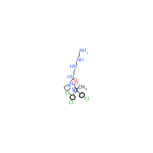 Cc1c(C(=O)N(CC(=O)NCCCNCCNCCCN)N2CCCCC2)nn(-c2ccc(Cl)cc2Cl)c1-c1ccc(Cl)cc1